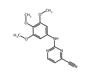 COc1cc(Nc2nccc(C#N)n2)cc(OC)c1OC